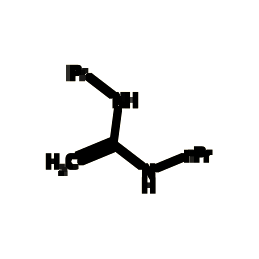 C=C(NCCC)NC(C)C